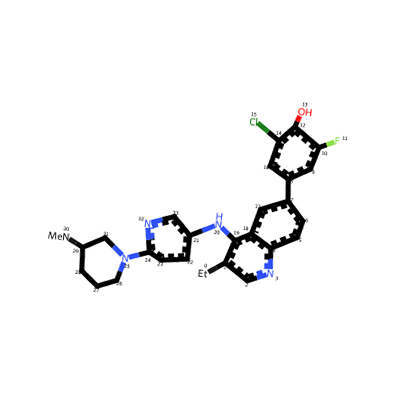 CCc1cnc2ccc(-c3cc(F)c(O)c(Cl)c3)cc2c1Nc1ccc(N2CCCC(NC)C2)nc1